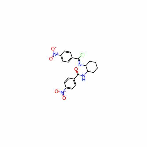 O=C(NC1CCCCC1N=C(Cl)c1ccc([N+](=O)[O-])cc1)c1ccc([N+](=O)[O-])cc1